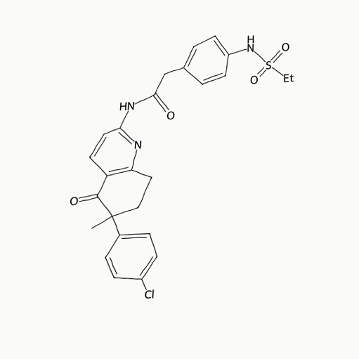 CCS(=O)(=O)Nc1ccc(CC(=O)Nc2ccc3c(n2)CCC(C)(c2ccc(Cl)cc2)C3=O)cc1